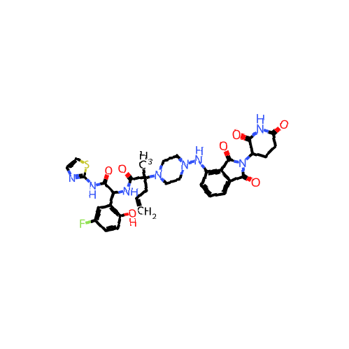 C=CCC(C)(C(=O)NC(C(=O)Nc1nccs1)c1cc(F)ccc1O)N1CCN(Nc2cccc3c2C(=O)N(C2CCC(=O)NC2=O)C3=O)CC1